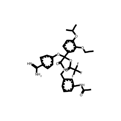 CCOc1cc(C(OC(=O)C(F)(F)F)(Oc2ccc(C(=N)N)cc2)C(=O)NCc2cccc(NC(C)=O)c2)ccc1OC(C)C